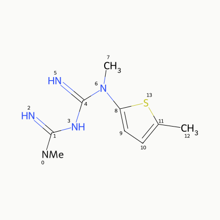 CNC(=N)NC(=N)N(C)c1ccc(C)s1